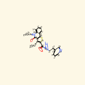 CCCCn1c(=O)c2c(OC)c(C(=O)NCCc3cccnc3)sc2c2ccccc21